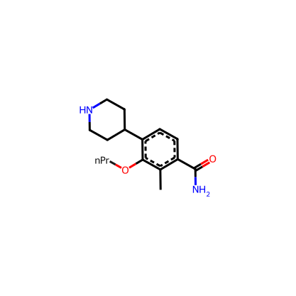 CCCOc1c(C2CCNCC2)ccc(C(N)=O)c1C